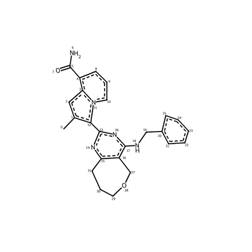 Cc1cc2c(C(N)=O)cccn2c1-c1nc2c(c(NCc3ccccc3)n1)COCCC2